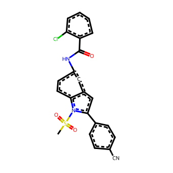 CS(=O)(=O)n1c(-c2ccc(C#N)cc2)cc2cc(NC(=O)c3ccccc3Cl)ccc21